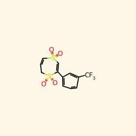 O=S1(=O)C=CCS(=O)(=O)C(c2cccc(C(F)(F)F)c2)=C1